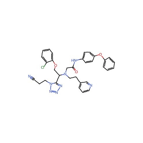 N#CCCn1nnnc1C(COc1ccccc1Cl)N(CCc1cccnc1)CC(=O)Nc1ccc(Oc2ccccc2)cc1